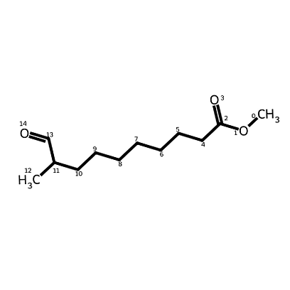 COC(=O)CCCCCCCC(C)C=O